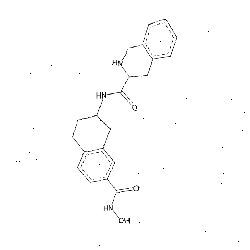 O=C(NO)c1ccc2c(c1)CC(NC(=O)C1Cc3ccccc3CN1)CC2